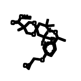 CCC1(CC)CC2(CC(C)(C)N1OC(C)c1ccc(OCC3CO3)cc1)OCC(C)(C(=O)OC)CO2